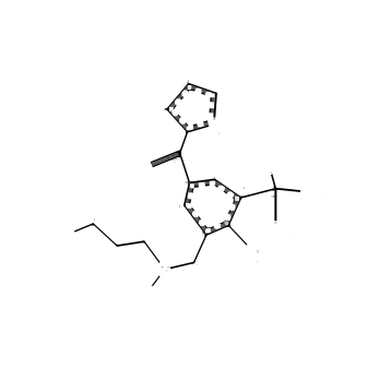 CN(CCCO)Cc1cc(C(=O)c2cccs2)cc(C(C)(C)C)c1O.Cl